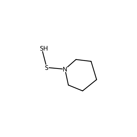 SSN1CCCCC1